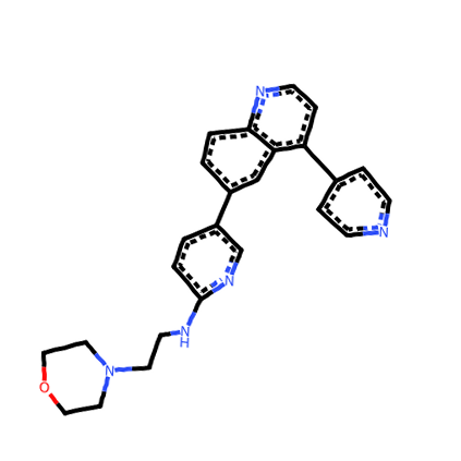 c1cc(-c2ccnc3ccc(-c4ccc(NCCN5CCOCC5)nc4)cc23)ccn1